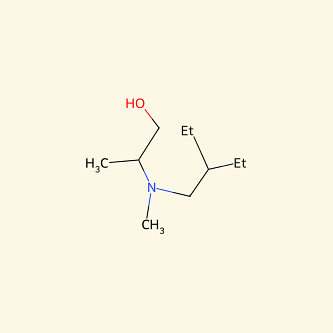 CCC(CC)CN(C)C(C)CO